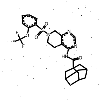 O=C(Nc1ncnc2c1CCN(S(=O)(=O)c1ccccc1OC(F)(F)F)C2)C12CC3CC(CC(C3)C1)C2